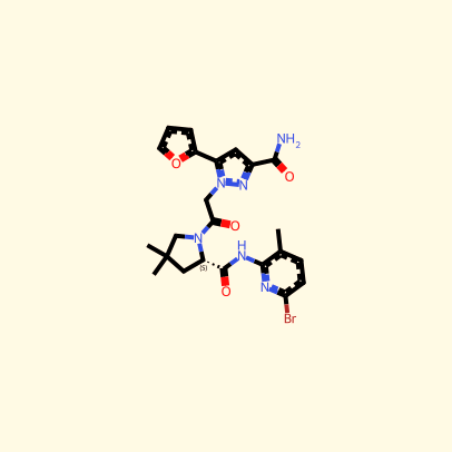 Cc1ccc(Br)nc1NC(=O)[C@@H]1CC(C)(C)CN1C(=O)Cn1nc(C(N)=O)cc1-c1ccco1